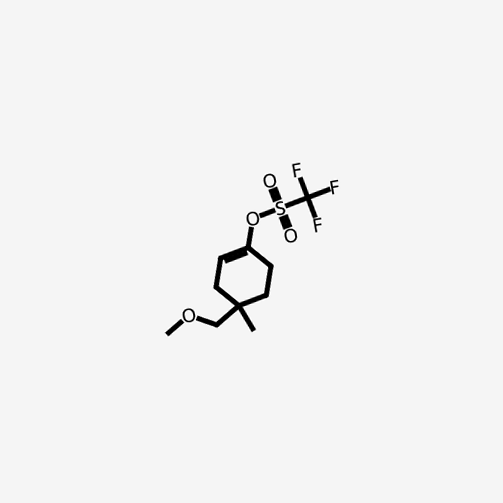 COCC1(C)CC=C(OS(=O)(=O)C(F)(F)F)CC1